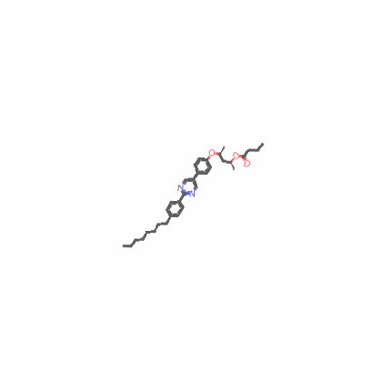 CCCCCCCCc1ccc(-c2ncc(-c3ccc(O[C@@H](C)C[C@H](C)OC(=O)CCC)cc3)cn2)cc1